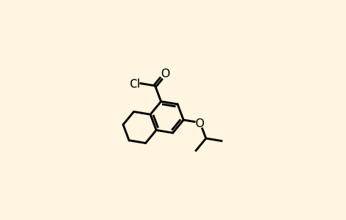 CC(C)Oc1cc2c(c(C(=O)Cl)c1)CCCC2